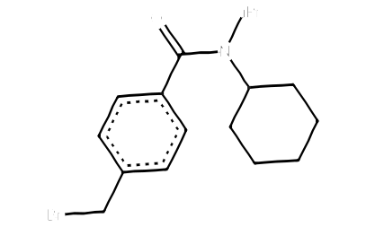 CC(C)N(C(=O)c1ccc(CBr)cc1)C1CCCCC1